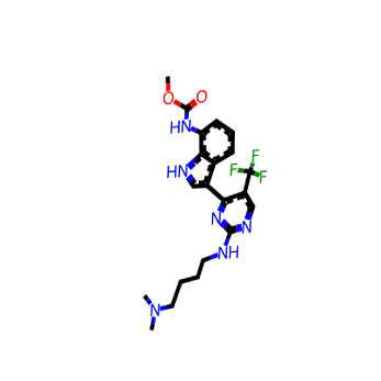 COC(=O)Nc1cccc2c(-c3nc(NCCCCN(C)C)ncc3C(F)(F)F)c[nH]c12